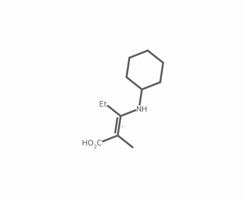 CC/C(NC1CCCCC1)=C(/C)C(=O)O